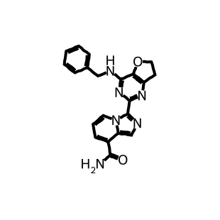 NC(=O)c1cccn2c(-c3nc4c(c(NCc5ccccc5)n3)OCC4)ncc12